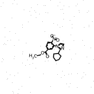 CCOC(=O)c1ccc([N+](=O)[O-])c(-n2ccnc2C2CCCCC2)c1